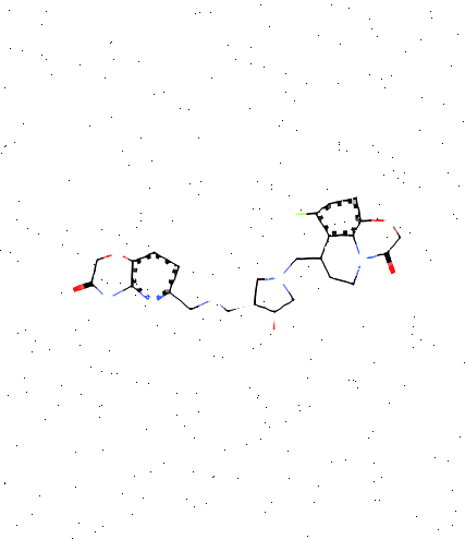 O=C1COc2ccc(CNC[C@H]3CN(CC4CCN5C(=O)COc6ccc(F)c4c65)C[C@H]3O)nc2N1